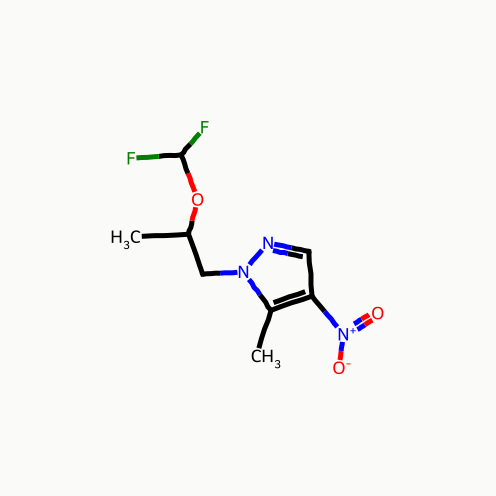 Cc1c([N+](=O)[O-])cnn1CC(C)OC(F)F